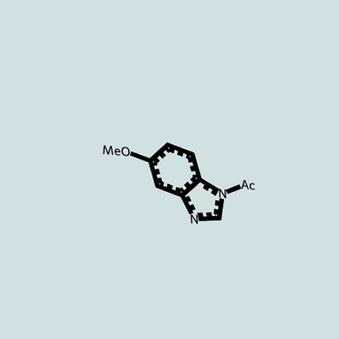 COc1ccc2c(c1)ncn2C(C)=O